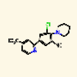 [C-]#[N+]c1cc(-c2cc(C(=O)O)ccn2)cc(Cl)c1N1CCCCC1